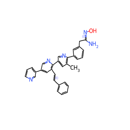 Cc1cc(-c2ncc(-c3cccnc3)cc2/C=C/c2ccccc2)cnc1-c1cccc(C/C(N)=N/O)c1